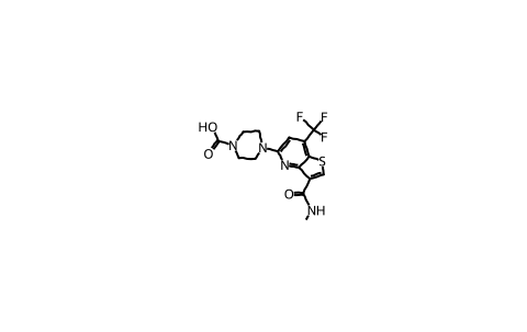 CNC(=O)c1csc2c(C(F)(F)F)cc(N3CCN(C(=O)O)CC3)nc12